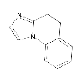 c1ccc2c(c1)CCc1nccn1-2